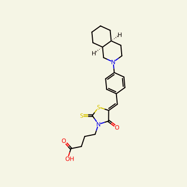 O=C(O)CCCN1C(=O)C(=Cc2ccc(N3CC[C@@H]4CCCC[C@@H]4C3)cc2)SC1=S